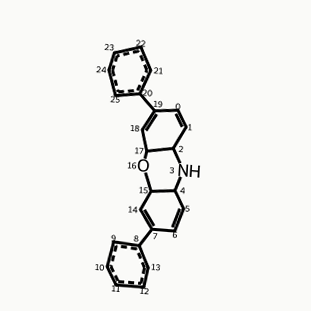 C1=CC2NC3C=CC(c4ccccc4)=CC3OC2C=C1c1ccccc1